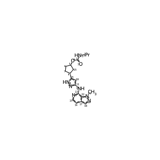 CC(C)NC(=O)O[C@@H]1CC[C@H](c2cc(Nc3nccc4cnn(C)c34)n[nH]2)C1